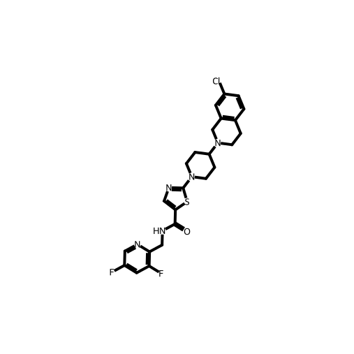 O=C(NCc1ncc(F)cc1F)c1cnc(N2CCC(N3CCc4ccc(Cl)cc4C3)CC2)s1